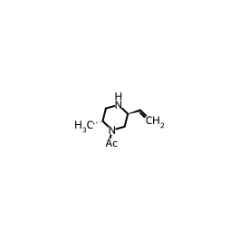 C=C[C@H]1CN(C(C)=O)[C@H](C)CN1